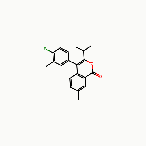 Cc1ccc2c(-c3ccc(F)c(C)c3)c(C(C)C)oc(=O)c2c1